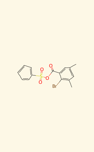 Cc1cc(C)c(Br)c(C(=O)OS(=O)(=O)c2ccccc2)c1